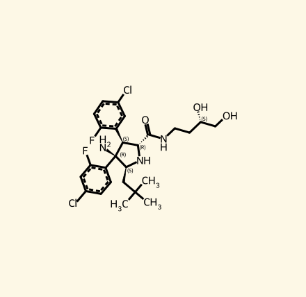 CC(C)(C)C[C@@H]1N[C@@H](C(=O)NCC[C@H](O)CO)[C@H](c2cc(Cl)ccc2F)[C@@]1(N)c1ccc(Cl)cc1F